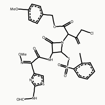 C=C(CCl)C(C(=O)OCc1ccc(OC)cc1)N1C(=O)C(NC(=O)/C(=N\OC)c2csc(NC=O)n2)C1SS(=O)(=O)c1ccccc1C